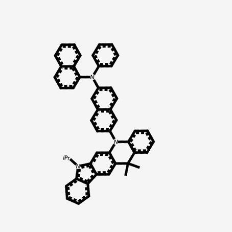 CC(C)n1c2ccccc2c2cc3c(cc21)N(c1ccc2cc(N(c4ccccc4)c4cccc5ccccc45)ccc2c1)c1ccccc1C3(C)C